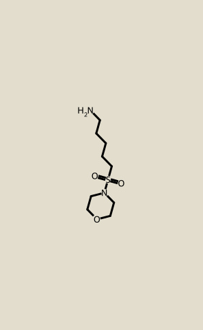 NCCCCCS(=O)(=O)N1CCOCC1